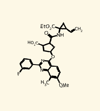 C=CC1CC1(NC(=O)C1CC(Oc2nc(-c3cccc(F)c3)nc3c(C)c(OC)ccc23)CC1C(=O)O)C(=O)OCC